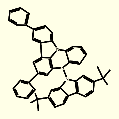 CC(C)(C)c1ccc2c3ccc(C(C)(C)C)cc3n(B3c4ccccc4-n4c5ccc(-c6ccccc6)cc5c5cc(-c6ccccc6)cc3c54)c2c1